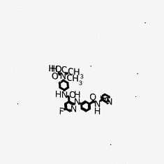 CC(C)(C)N(C(=O)O)C1CCC(NC(=O)c2cc(F)cnc2Nc2cccc(C(=O)NC3CN4CCC3CC4)c2)CC1